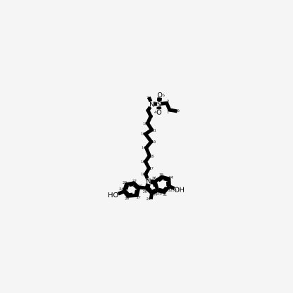 CCCS(=O)(=O)N(C)CCCCCCCCCCCn1c(-c2ccc(O)cc2)c(C)c2cc(O)ccc21